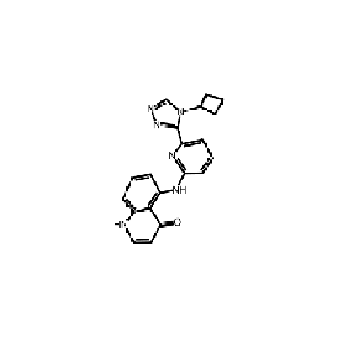 O=c1cc[nH]c2cccc(Nc3cccc(-c4nncn4C4CCC4)n3)c12